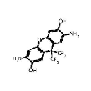 Nc1cc2c(cc1O)Oc1cc(N)c(O)cc1C2(C(F)(F)F)C(F)(F)F